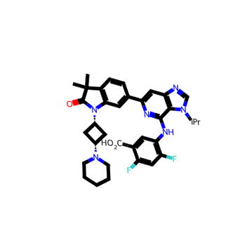 CC(C)n1cnc2cc(-c3ccc4c(c3)N([C@H]3C[C@@H](N5CCCCC5)C3)C(=O)C4(C)C)nc(Nc3cc(C(=O)O)c(F)cc3F)c21